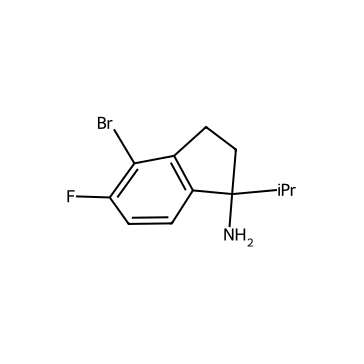 CC(C)C1(N)CCc2c1ccc(F)c2Br